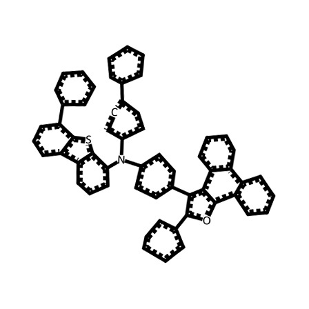 c1ccc(-c2ccc(N(c3ccc(-c4c(-c5ccccc5)oc5c6ccccc6c6ccccc6c45)cc3)c3cccc4c3sc3c(-c5ccccc5)cccc34)cc2)cc1